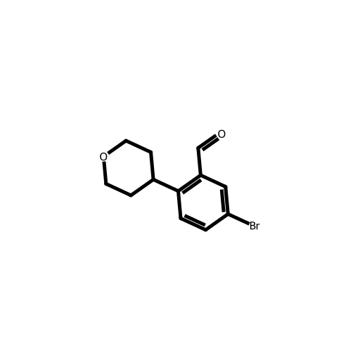 O=Cc1cc(Br)ccc1C1CCOCC1